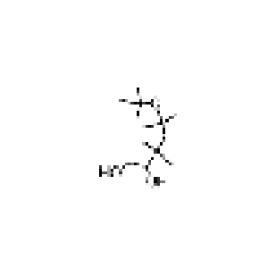 CC(C)(C)OC(C)(C)CC(C)(C)C(O)CO